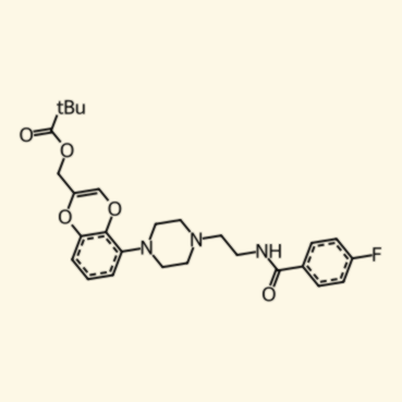 CC(C)(C)C(=O)OCC1=COc2c(cccc2N2CCN(CCNC(=O)c3ccc(F)cc3)CC2)O1